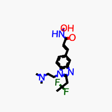 CN(C)CCn1c(CC(C)(F)F)nc2cc(/C=C/C(=O)NO)ccc21